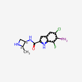 C[C@H]1NC[C@H]1NC(=O)c1cc2cc(Cl)c(P)c(F)c2[nH]1